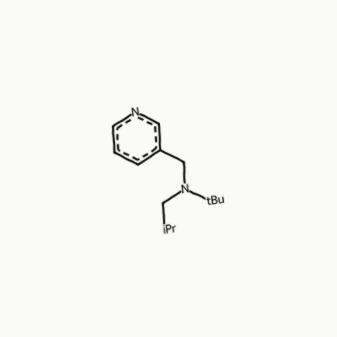 CC(C)CN(Cc1cccnc1)C(C)(C)C